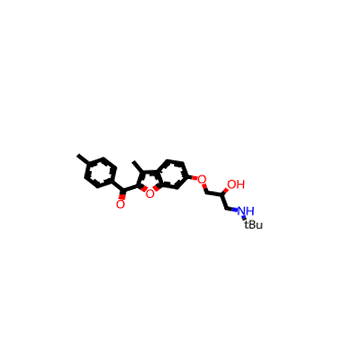 Cc1ccc(C(=O)c2oc3cc(OCC(O)CNC(C)(C)C)ccc3c2C)cc1